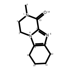 CN1CCn2c(nc3c2CCCC3)C1=O